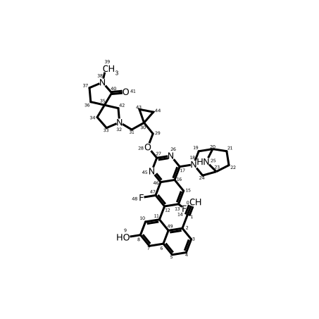 C#Cc1cccc2cc(O)cc(-c3c(F)cc4c(N5CC6CCC(C5)N6)nc(OCC5(CN6CCC7(CCN(C)C7=O)C6)CC5)nc4c3F)c12